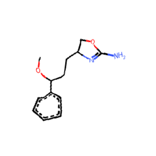 COC(CCC1COC(N)=N1)c1ccccc1